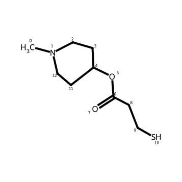 CN1CCC(OC(=O)CCS)CC1